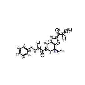 C/C=C1/CN(C(=O)NCCc2ccccc2)Cc2cc(C(=O)NO)sc21